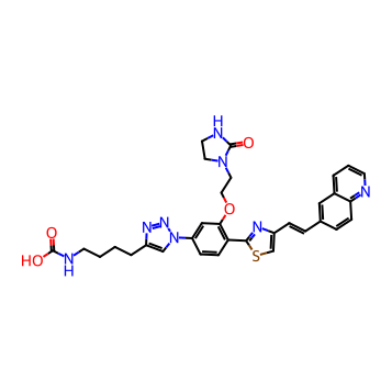 O=C(O)NCCCCc1cn(-c2ccc(-c3nc(C=Cc4ccc5ncccc5c4)cs3)c(OCCN3CCNC3=O)c2)nn1